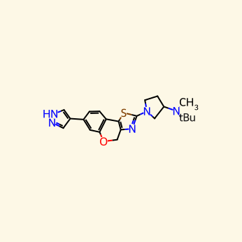 CN(C1CCN(c2nc3c(s2)-c2ccc(-c4cn[nH]c4)cc2OC3)C1)C(C)(C)C